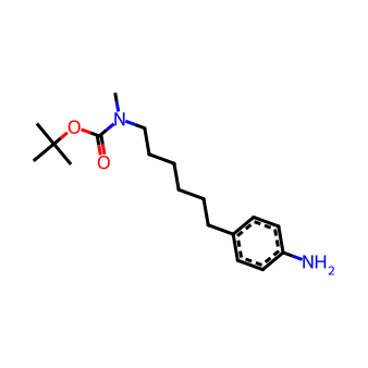 CN(CCCCCCc1ccc(N)cc1)C(=O)OC(C)(C)C